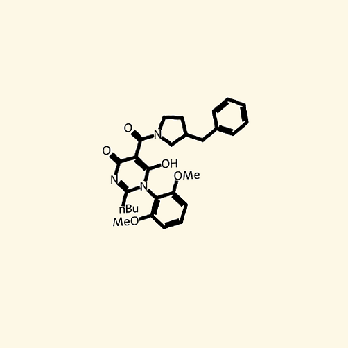 CCCCc1nc(=O)c(C(=O)N2CCC(Cc3ccccc3)C2)c(O)n1-c1c(OC)cccc1OC